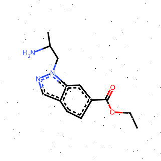 CCOC(=O)c1ccc2cnn(CC(C)N)c2c1